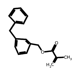 C=C(C)C(=O)OCc1cccc(Cc2ccccc2)c1